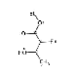 CCOC(=O)C(F)C(C)O